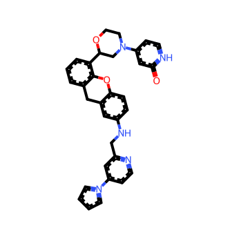 O=c1cc(N2CCOC(c3cccc4c3Oc3ccc(NCc5cc(-n6cccc6)ccn5)cc3C4)C2)cc[nH]1